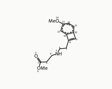 COC(=O)CCNCCC1=Cc2ccc(OC)cc21